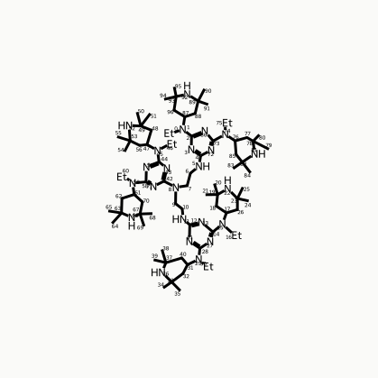 CCN(c1nc(NCCN(CCNc2nc(N(CC)C3CC(C)(C)NC(C)(C)C3)nc(N(CC)C3CC(C)(C)NC(C)(C)C3)n2)c2nc(N(CC)C3CC(C)(C)NC(C)(C)C3)nc(N(CC)C3CC(C)(C)NC(C)(C)C3)n2)nc(N(CC)C2CC(C)(C)NC(C)(C)C2)n1)C1CC(C)(C)NC(C)(C)C1